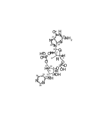 C[C@@H]1[C@H]2COP(=O)(O)O[C@@H]3[C@@H](COP(=O)(O)O[C@H]1C(n1cnc4c(=O)[nH]c(N)nc41)O2)C[C@@H](Nc1ccncn1)[C@@H]3O